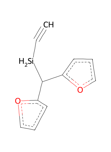 C#C[SiH2]C(c1ccco1)c1ccco1